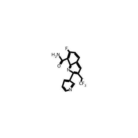 NC(=O)c1c(F)ccc2cc([CH]C(F)(F)F)c(-c3cccnc3)nc12